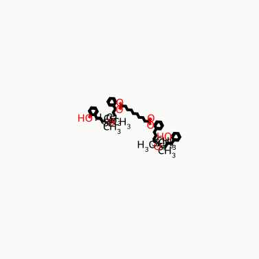 C[Si](C)(CCCc1ccccc1O)O[Si](C)(C)CCCc1ccccc1OC(=O)CCCCCCCCC(=O)Oc1ccccc1CCC[Si](C)(C)O[Si](C)(C)CCCc1ccccc1O